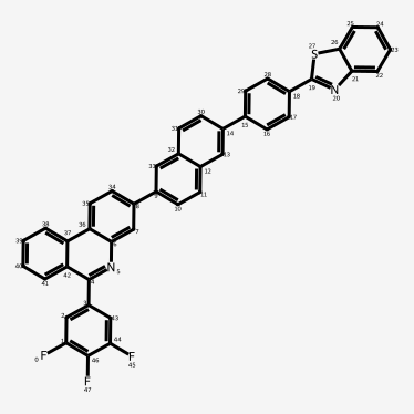 Fc1cc(-c2nc3cc(-c4ccc5cc(-c6ccc(-c7nc8ccccc8s7)cc6)ccc5c4)ccc3c3ccccc23)cc(F)c1F